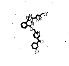 COCc1cc(-c2nnc3c4ccccc4c(OCc4ccc(C(=O)C5CCCC(OC)C5)cn4)nn23)no1